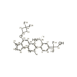 Cc1nc(N[C@H](C)c2cccc(C(F)(F)CO)c2)c2cc(OC3CC(F)(F)C3)c3c(cnn3C)c2n1